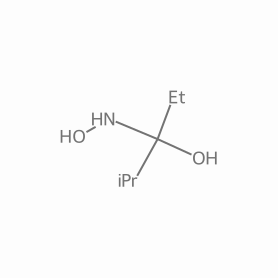 CCC(O)(NO)C(C)C